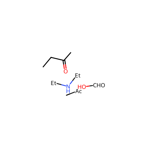 CC(C)=O.CCC(C)=O.CCNCC.O=CO